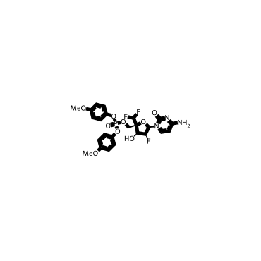 COc1ccc(OP(=O)(OC[C@@]2(C(F)F)O[C@@H](n3ccc(N)nc3=O)[C@H](F)[C@@H]2O)Oc2ccc(OC)cc2)cc1